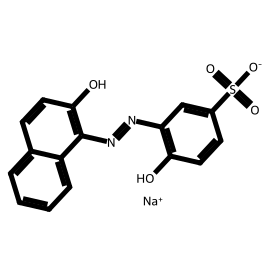 O=S(=O)([O-])c1ccc(O)c(N=Nc2c(O)ccc3ccccc23)c1.[Na+]